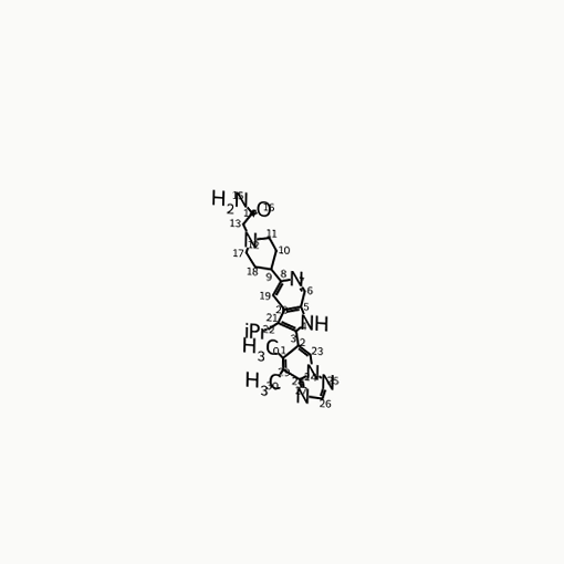 Cc1c(-c2[nH]c3cnc(C4CCN(CC(N)=O)CC4)cc3c2C(C)C)cn2ncnc2c1C